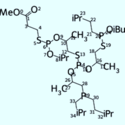 COC(=O)CCSP(OC(C)C)OC(C)CSP(OC(C)CSP(CCC(C)C)OCC(C)C)OC(C)CP(CCC(C)C)CC(C)C